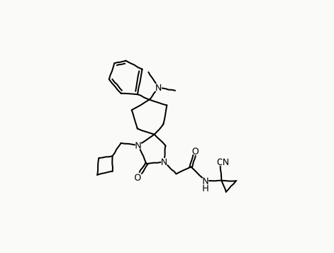 CN(C)C1(c2ccccc2)CCC2(CC1)CN(CC(=O)NC1(C#N)CC1)C(=O)N2CC1CCC1